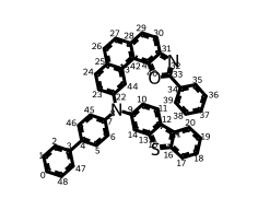 c1ccc(-c2ccc(N(c3ccc4c(c3)sc3ccccc34)c3ccc4ccc5ccc6nc(-c7ccccc7)oc6c5c4c3)cc2)cc1